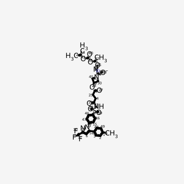 Cc1ccc(-c2cc(C(F)(F)F)nn2-c2ccc(S(=O)(=O)NC(=O)CCC(=O)OC3CN(/[N+]([O-])=N/OC(C)OC(=O)OC(C)C)C3)cc2)cc1